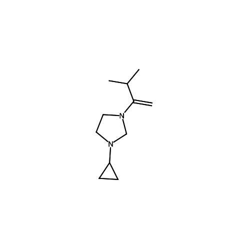 C=C(C(C)C)N1CCN(C2CC2)C1